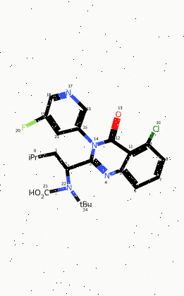 CC(C)CC(c1nc2cccc(Cl)c2c(=O)n1-c1cncc(F)c1)N(C(=O)O)C(C)(C)C